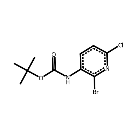 CC(C)(C)OC(=O)Nc1ccc(Cl)nc1Br